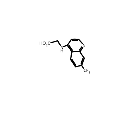 O=C(O)CNc1ccnc2cc(C(F)(F)F)ccc12